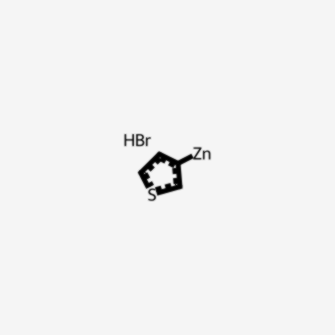 Br.[Zn][c]1ccsc1